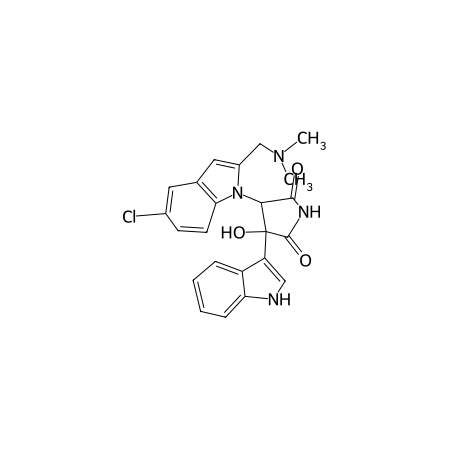 CN(C)Cc1cc2cc(Cl)ccc2n1C1C(=O)NC(=O)C1(O)c1c[nH]c2ccccc12